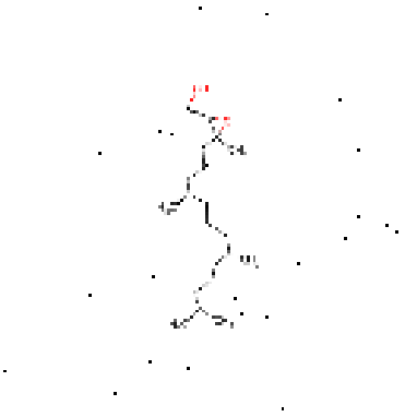 CC(C)CCC[C@@H](C)CCC[C@@H](C)CCCC1(C)O[C@@H]1CO